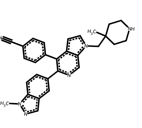 Cn1ncc2cc(-c3ncc4c(ccn4CC4(C)CCNCC4)c3-c3ccc(C#N)cc3)ccc21